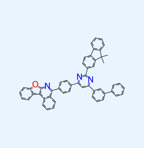 CC1(C)c2ccccc2-c2ccc(-c3nc(-c4ccc(-c5nc6oc7ccccc7c6c6ccccc56)cc4)cc(-c4cccc(-c5ccccc5)c4)n3)cc21